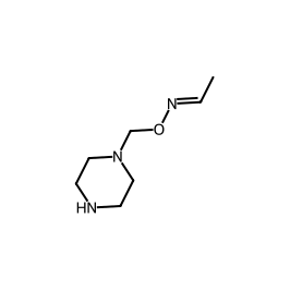 CC=NOCN1CCNCC1